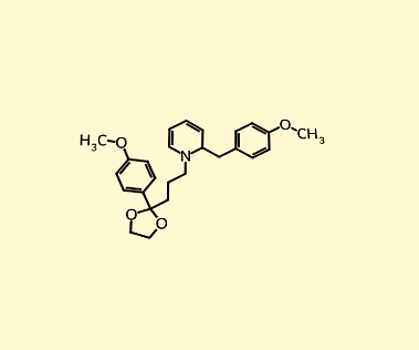 COc1ccc(CC2C=CC=CN2CCCC2(c3ccc(OC)cc3)OCCO2)cc1